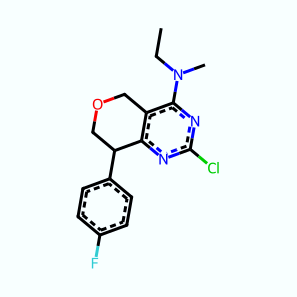 CCN(C)c1nc(Cl)nc2c1COCC2c1ccc(F)cc1